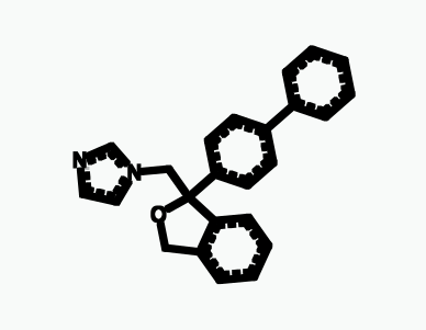 c1ccc(-c2ccc(C3(Cn4ccnc4)OCc4ccccc43)cc2)cc1